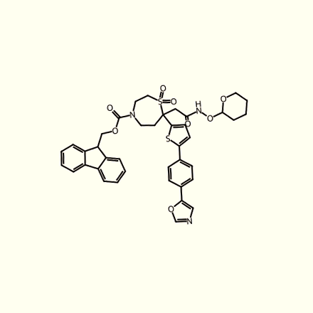 O=C(CC1(c2ccc(-c3ccc(-c4cnco4)cc3)s2)CCN(C(=O)OCC2c3ccccc3-c3ccccc32)CCS1(=O)=O)NOC1CCCCO1